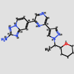 CC(C1CCCCO1)n1cc(-c2cncc(-c3ccn4nc(N)nc4c3)n2)cn1